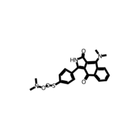 CN(C)OOSc1ccc(C2=C3C(=O)c4ccccc4C(N(C)C)=C3C(=O)N2)cc1